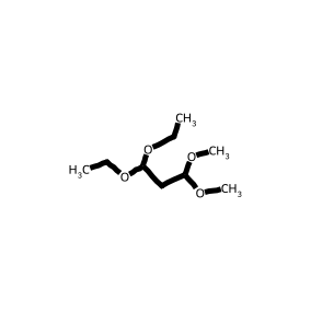 CCO[C](CC(OC)OC)OCC